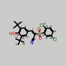 CC(C)(C)c1cc(/C=C(\C#N)S(=O)(=O)c2cc(Cl)ccc2Cl)cc(C(C)(C)C)c1O